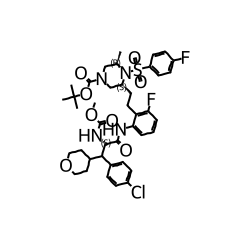 COC(=O)N[C@H](C(=O)Nc1cccc(F)c1CC[C@H]1CN(C(=O)OC(C)(C)C)C[C@@H](C)N1S(=O)(=O)c1ccc(F)cc1)C(c1ccc(Cl)cc1)C1CCOCC1